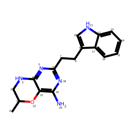 CC1CNc2nc(CCc3c[nH]c4ccccc34)nc(N)c2O1